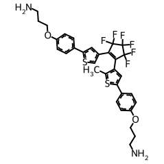 Cc1sc(-c2ccc(OCCCN)cc2)cc1C1=C(c2csc(-c3ccc(OCCCN)cc3)c2)C(F)(F)C(F)(F)C1(F)F